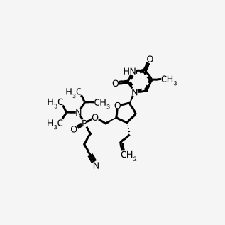 C=CC[C@H]1C[C@H](n2cc(C)c(=O)[nH]c2=O)O[C@@H]1COP(=O)(CCC#N)N(C(C)C)C(C)C